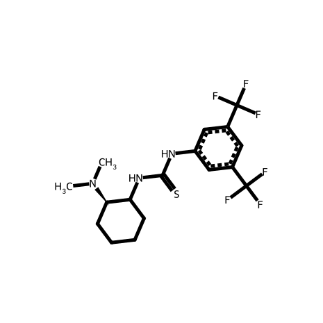 CN(C)[C@@H]1CCCCC1NC(=S)Nc1cc(C(F)(F)F)cc(C(F)(F)F)c1